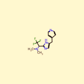 CN(C)[C@H](c1ncc(Cc2ccncc2)[nH]1)C(F)(F)F